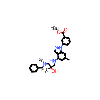 Cc1cc(NCC(O)(CN(Cc2ccccc2)C(C)C)C(F)(F)F)c2cnn(-c3cccc(C(=O)OC(C)(C)C)c3)c2c1